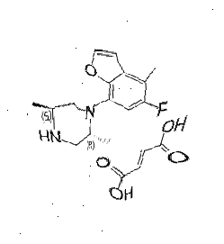 Cc1c(F)cc(N2C[C@H](C)NC[C@H]2C)c2occc12.O=C(O)C=CC(=O)O